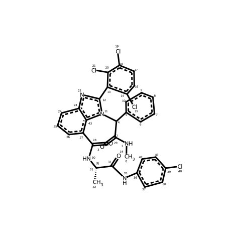 CNC(=O)C(c1ccccc1)n1c(-c2c(Cl)ccc(Cl)c2Cl)nc2cccc(C(=O)N[C@@H](C)C(=O)Nc3ccc(Cl)cc3)c21